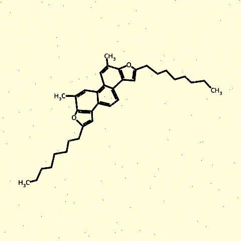 CCCCCCCCc1cc2c(o1)c(C)cc1c2ccc2c3cc(CCCCCCCC)oc3c(C)cc21